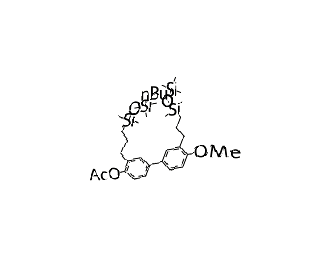 CCCC[Si](C)(C)O[Si](C)(C)CCCc1cc(-c2ccc(OC)c(CCC[Si](C)(C)O[Si](C)(C)C)c2)ccc1OC(C)=O